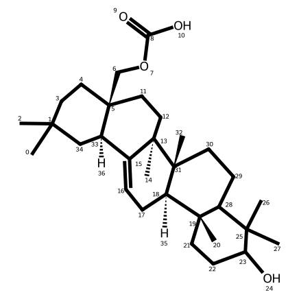 CC1(C)CC[C@]2(COC(=O)O)CC[C@]3(C)C(=CC[C@@H]4[C@@]5(C)CCC(O)C(C)(C)C5CC[C@]43C)[C@H]2C1